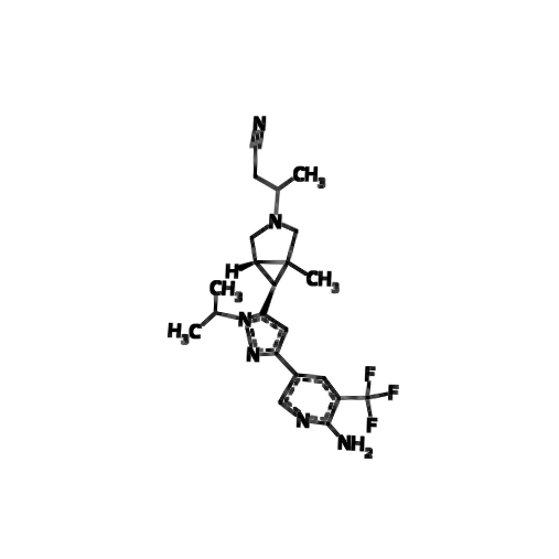 CC(CC#N)N1C[C@H]2[C@H](c3cc(-c4cnc(N)c(C(F)(F)F)c4)nn3C(C)C)C2(C)C1